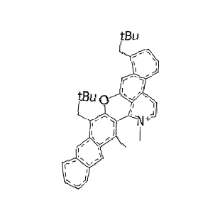 Cc1c2c(c(CC(C)(C)C)c3cc4ccccc4cc13)Oc1cc3c(CC(C)(C)C)cccc3c3cc[n+](C)c-2c13